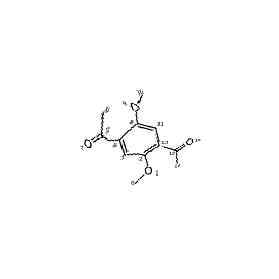 COc1cc(C(C)=O)c(OC)cc1C(C)=O